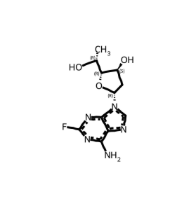 C[C@@H](O)[C@H]1O[C@@H](n2cnc3c(N)nc(F)nc32)C[C@@H]1O